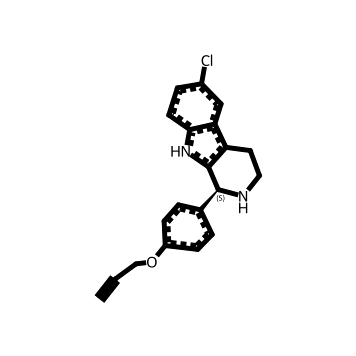 C#CCOc1ccc([C@@H]2NCCc3c2[nH]c2ccc(Cl)cc32)cc1